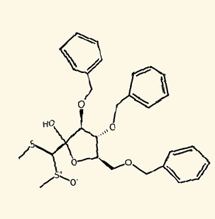 CSC([S+](C)[O-])C1(O)O[C@H](COCc2ccccc2)[C@@H](OCc2ccccc2)[C@@H]1OCc1ccccc1